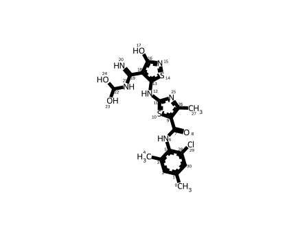 Cc1cc(C)c(NC(=O)c2sc(Nc3snc(O)c3C(=N)NC(O)O)nc2C)c(Cl)c1